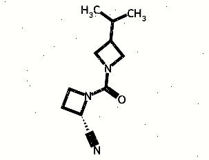 CC(C)C1CN(C(=O)N2CC[C@H]2C#N)C1